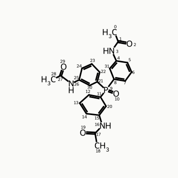 CC(=O)Nc1cccc(P(=O)(c2cccc(NC(C)=O)c2)c2cccc(NC(C)=O)c2)c1